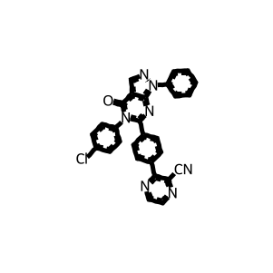 N#Cc1nccnc1-c1ccc(-c2nc3c(cnn3-c3ccccc3)c(=O)n2-c2ccc(Cl)cc2)cc1